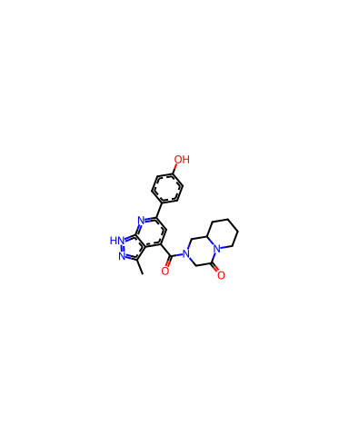 Cc1n[nH]c2nc(-c3ccc(O)cc3)cc(C(=O)N3CC(=O)N4CCCCC4C3)c12